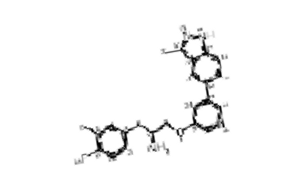 Cc1cc(C[C@H](N)COc2cncc(-c3ccc4[nH]nc(C)c4c3)c2)ccc1F